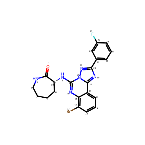 O=C1NCCCC[C@H]1Nc1nc2c(Br)cccc2c2nc(-c3cccc(F)c3)nn12